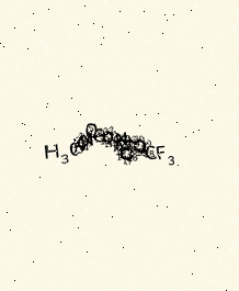 CN1CCN(C(=O)COc2ccc(C(Cc3ccccc3)=NOCc3ccc(C(F)(F)F)cc3)cc2)CC1